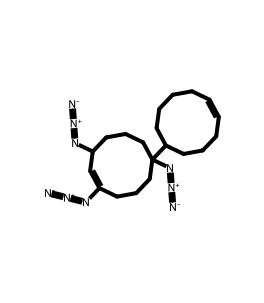 [N-]=[N+]=NC1=CC(N=[N+]=[N-])CCCC(N=[N+]=[N-])(C2CCCC=CCCCC2)CCC1